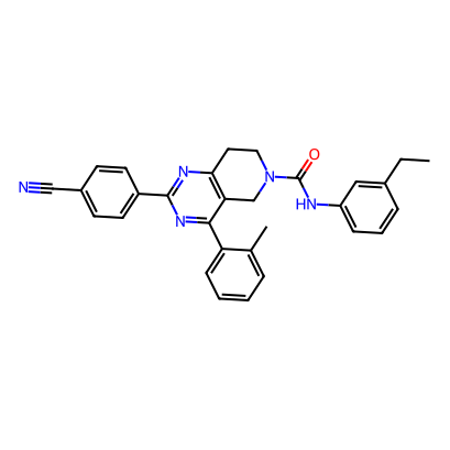 CCc1cccc(NC(=O)N2CCc3nc(-c4ccc(C#N)cc4)nc(-c4ccccc4C)c3C2)c1